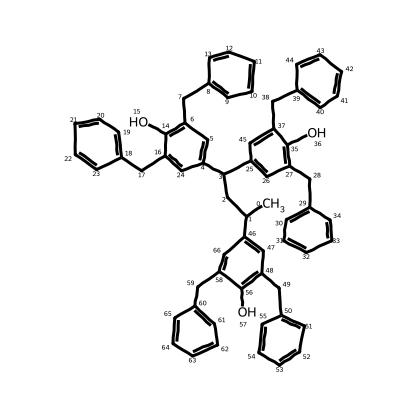 CC(CC(c1cc(Cc2ccccc2)c(O)c(Cc2ccccc2)c1)c1cc(Cc2ccccc2)c(O)c(Cc2ccccc2)c1)c1cc(Cc2ccccc2)c(O)c(Cc2ccccc2)c1